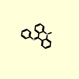 Cn1c2ccccc2c(=Nc2ccccc2)c2ccccc21